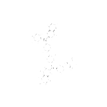 C=C(C)C(=O)Oc1cccc(N(c2ccc(-c3ccc(N(c4ccccc4)c4ccc5ccccc5c4)cc3)cc2)c2ccc3ccccc3c2)c1